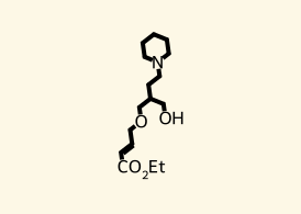 CCOC(=O)/C=C/COCC(CO)CCN1CCCCC1